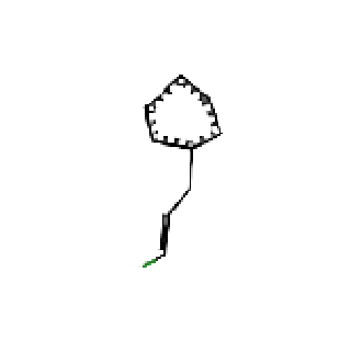 ClC=CCc1ccccc1